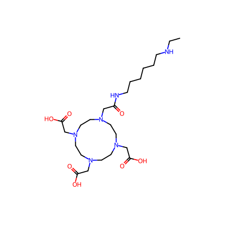 CCNCCCCCCNC(=O)CN1CCN(CC(=O)O)CCN(CC(=O)O)CCN(CC(=O)O)CC1